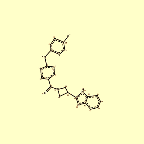 O=C(c1ccc(Oc2ccc(F)cc2)cc1)N1CC(c2nc3ccccc3[nH]2)C1